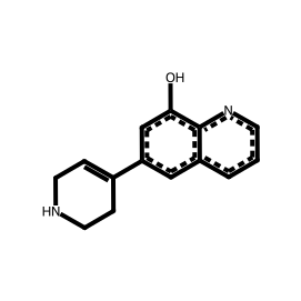 Oc1cc(C2=CCNCC2)cc2cccnc12